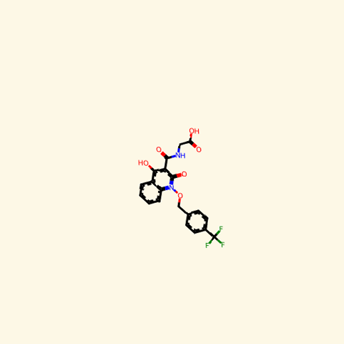 O=C(O)CNC(=O)c1c(O)c2ccccc2n(OCc2ccc(C(F)(F)F)cc2)c1=O